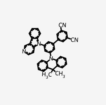 CC1(C)c2ccccc2N(c2cc(-c3cc(C#N)cc(C#N)c3)cc(-n3c4ccccc4c4cnccc43)c2)c2ccccc21